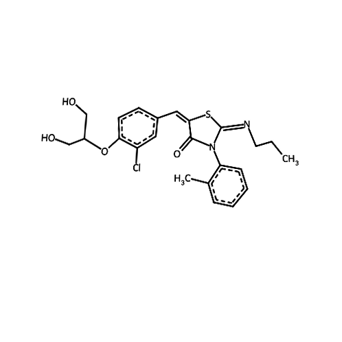 CCCN=C1SC(=Cc2ccc(OC(CO)CO)c(Cl)c2)C(=O)N1c1ccccc1C